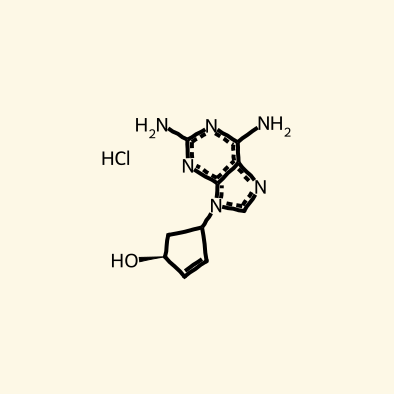 Cl.Nc1nc(N)c2ncn(C3C=C[C@@H](O)C3)c2n1